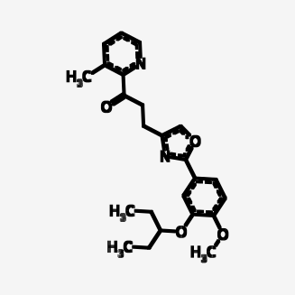 CCC(CC)Oc1cc(-c2nc(CCC(=O)c3ncccc3C)co2)ccc1OC